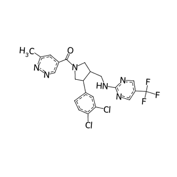 Cc1cc(C(=O)N2CC(CNc3ncc(C(F)(F)F)cn3)C(c3ccc(Cl)c(Cl)c3)C2)cnn1